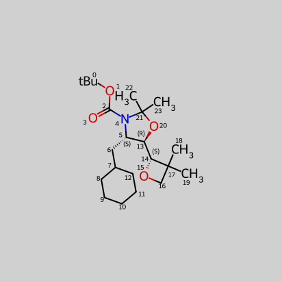 CC(C)(C)OC(=O)N1[C@@H](CC2CCCCC2)[C@H]([C@H]2OCC2(C)C)OC1(C)C